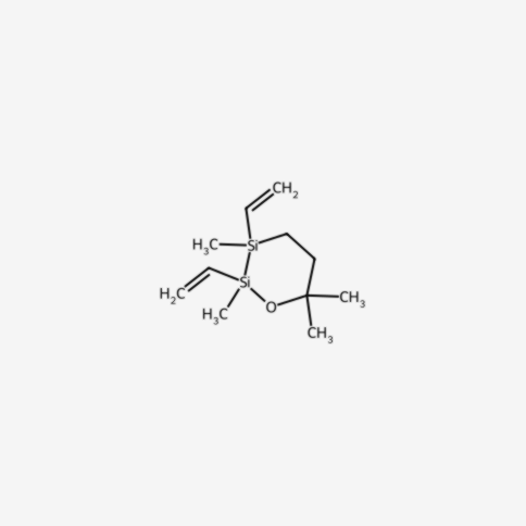 C=C[Si]1(C)CCC(C)(C)O[Si]1(C)C=C